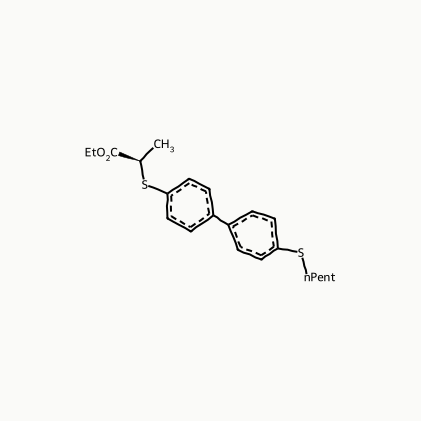 CCCCCSc1ccc(-c2ccc(S[C@H](C)C(=O)OCC)cc2)cc1